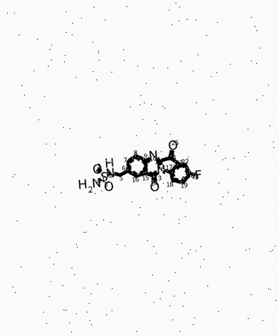 NS(=O)(=O)NCc1ccc2nc3n(c(=O)c2c1)-c1ccc(F)cc1C3=O